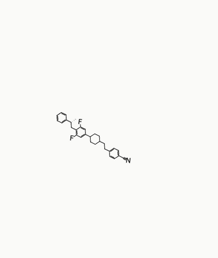 C[C@H](Cc1c(F)cc(C2CCC(CCc3ccc(C#N)cc3)CC2)cc1F)c1ccccc1